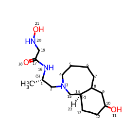 C[C@@H](CN1CCCCC2CC(O)CC[C@H]2C1)NC(=O)CNO